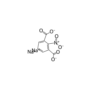 O=C([O-])c1cccc(C(=O)[O-])c1[N+](=O)[O-].[Na+].[Na+]